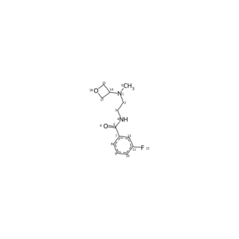 CN(CCNC(=O)c1cccc(F)c1)C1COC1